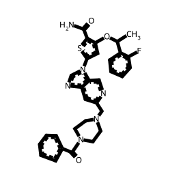 CC(Oc1cc(-n2cnc3cc(CN4CCN(C(=O)c5ccccc5)CC4)ncc32)sc1C(N)=O)c1ccccc1F